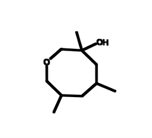 CC1COCC(C)(O)CC(C)C1